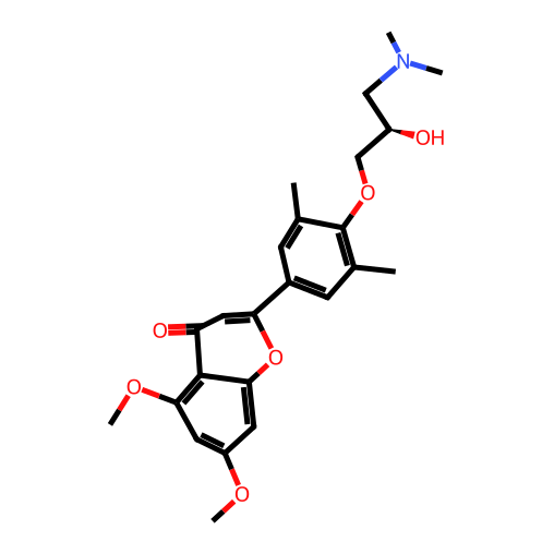 COc1cc(OC)c2c(=O)cc(-c3cc(C)c(OC[C@H](O)CN(C)C)c(C)c3)oc2c1